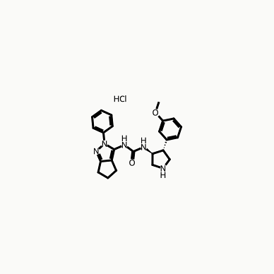 COc1cccc([C@@H]2CNC[C@H]2NC(=O)Nc2c3c(nn2-c2ccccc2)CCC3)c1.Cl